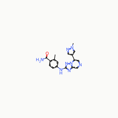 Cc1cc(Nc2nc3cncc(-c4cnn(C)c4)n3n2)ccc1C(N)=O